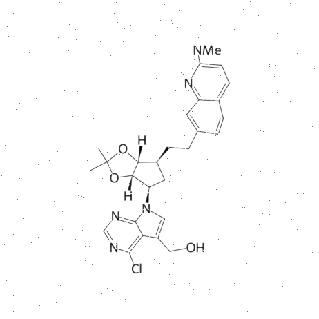 CNc1ccc2ccc(CC[C@H]3C[C@@H](n4cc(CO)c5c(Cl)ncnc54)[C@@H]4OC(C)(C)O[C@H]34)cc2n1